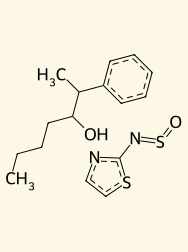 CCCCC(O)C(C)c1ccccc1.O=S=Nc1nccs1